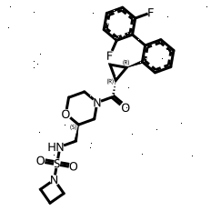 O=C([C@@H]1C[C@H]1c1ccccc1-c1c(F)cccc1F)N1CCO[C@H](CNS(=O)(=O)N2CCC2)C1